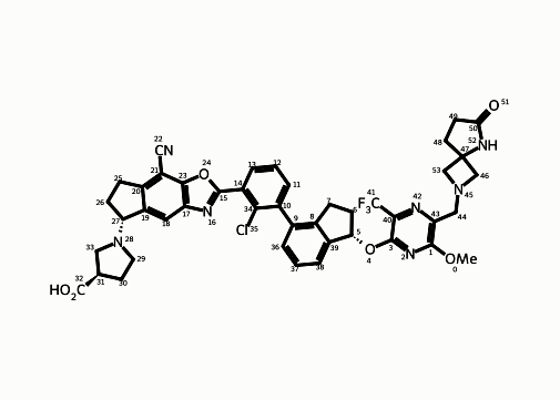 COc1nc(O[C@H]2CCc3c(-c4cccc(-c5nc6cc7c(c(C#N)c6o5)CC[C@H]7N5CC[C@@H](C(=O)O)C5)c4Cl)cccc32)c(C(F)(F)F)nc1CN1CC2(CCC(=O)N2)C1